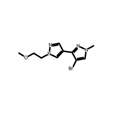 COCCn1cc(-c2nn(C)cc2Br)cn1